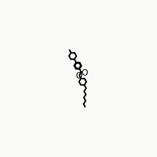 CCCCCCCC1CCC(OC(=O)c2ccc(C3CCC(C)CC3)cc2)CC1